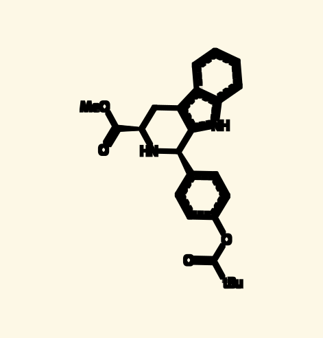 COC(=O)[C@H]1Cc2c([nH]c3ccccc23)[C@@H](c2ccc(OC(=O)C(C)(C)C)cc2)N1